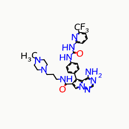 CN1CCN(CCCNC(=O)c2cn3ncnc(N)c3c2-c2ccc(NC(=O)Nc3cccc(C(F)(F)F)n3)cc2)CC1